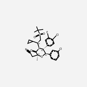 CC(C)(C)S(=O)(=O)C[C@H](C1CC1)N1C(=O)[C@](C)(CC#N)O[C@H](c2cccc(Cl)c2)[C@H]1c1ccc(Cl)c(F)c1